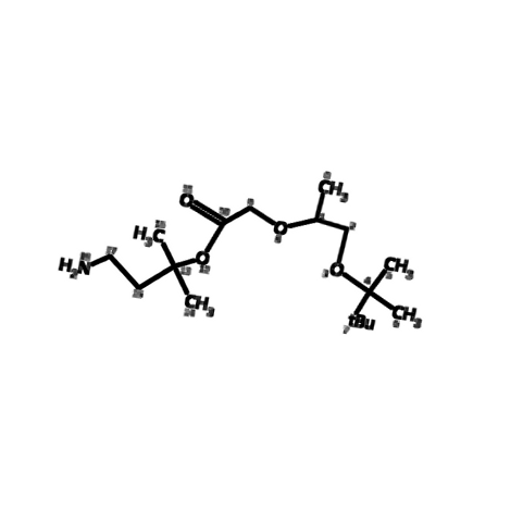 CC(COC(C)(C)C(C)(C)C)OCC(=O)OC(C)(C)CCN